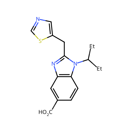 CCC(CC)n1c(Cc2cncs2)nc2cc(C(=O)O)ccc21